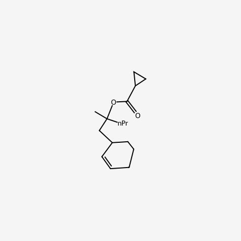 CCCC(C)(CC1C=CCCC1)OC(=O)C1CC1